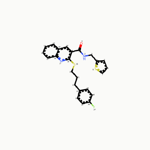 O=C(NCc1cccs1)c1cc2ccccc2nc1SCCCc1ccc(F)cc1